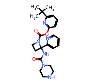 CC(C)(C)c1cccc(OC(=O)N2CCC2(NC(=O)N2CCNCC2)c2ccccn2)n1